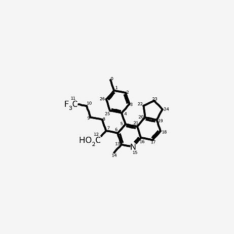 Cc1ccc(-c2c(C(CCCC(F)(F)F)C(=O)O)c(C)nc3ccc4c(c23)CCC4)cc1